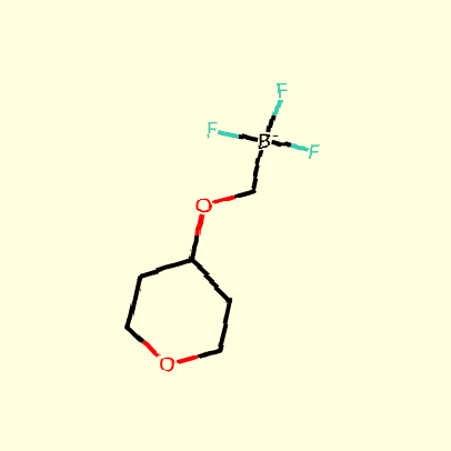 F[B-](F)(F)COC1CCOCC1